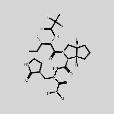 CC[C@H](C)[C@H](NC(=O)C(C)(F)F)C(=O)N1C[C@@H]2CCC[C@@H]2[C@H]1C(=O)NN(C[C@@H]1CCNC1=O)C(=O)[C@H](F)Cl